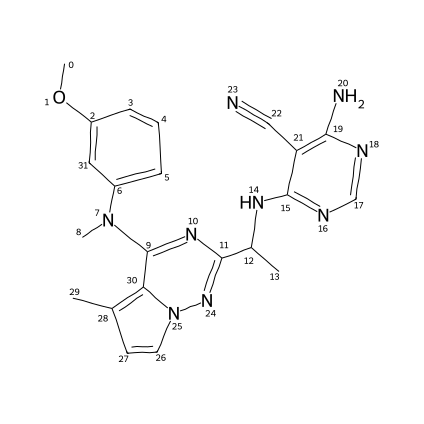 COc1cccc(N(C)c2nc(C(C)Nc3ncnc(N)c3C#N)nn3ccc(C)c23)c1